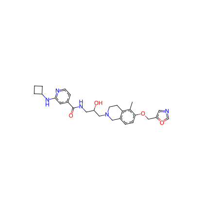 Cc1c(OCc2cnco2)ccc2c1CCN(CC(O)CNC(=O)c1ccnc(NC3CCC3)c1)C2